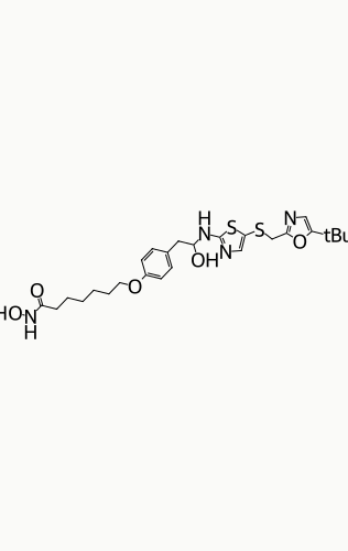 CC(C)(C)c1cnc(CSc2cnc(NC(O)Cc3ccc(OCCCCCCC(=O)NO)cc3)s2)o1